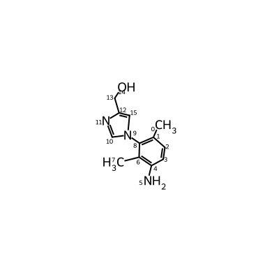 Cc1ccc(N)c(C)c1-n1cnc(CO)c1